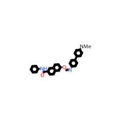 CNc1ccc(-c2ccc(/N=C\Oc3ccc4cc(C(=O)Nc5ccccc5)ccc4c3)cc2)cc1